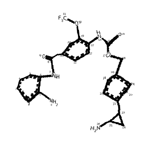 Nc1ccccc1NC(=O)c1ccc(NC(=O)OCc2ccc(C3CC3N)cc2)c(OC(F)(F)F)c1